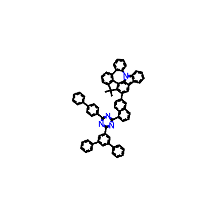 CC1(C)c2cccc3c2-c2c1c(-c1ccc4c(-c5nc(-c6ccc(-c7ccccc7)cc6)nc(-c6cc(-c7ccccc7)cc(-c7ccccc7)c6)n5)cccc4c1)cc1c4ccccc4n(c21)-c1ccccc1-3